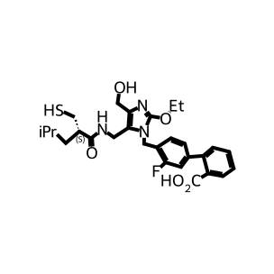 CCOc1nc(CO)c(CNC(=O)[C@@H](CS)CC(C)C)n1Cc1ccc(-c2ccccc2C(=O)O)cc1F